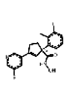 Cc1c(F)cccc1[C@@]1(C(=O)NO)C=C(c2cncc(F)c2)CC1